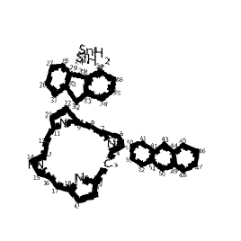 C1=Cc2cc3ccc(cc4nc(cc5ccc(cc1n2)[nH]5)C=C4)[nH]3.[SiH4].[SnH2].c1ccc2c(c1)Cc1ccccc1-2.c1ccc2cc3ccccc3cc2c1